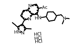 CC(=O)c1cnc2ccc(-c3c(C)n[nH]c3C)nc2c1NC1CCC(CN(C)C)CC1.Cl.Cl.Cl